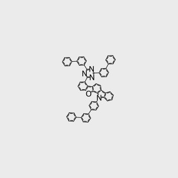 c1ccc(-c2cccc(-c3ccc(-n4c5ccccc5c5ccc6c(oc7cccc(-c8nc(-c9cccc(-c%10ccccc%10)c9)nc(-c9cccc(-c%10ccccc%10)c9)n8)c76)c54)cc3)c2)cc1